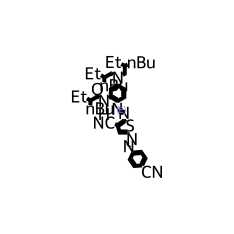 CCCCC(CC)CN(CC(CC)CCCC)c1ccc(/N=N/c2sc(N=Nc3ccc(C#N)cc3)cc2C#N)c(NC(=O)C(CC)CCCC)c1